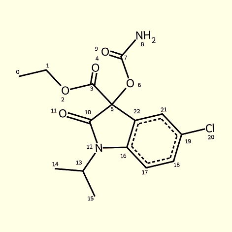 CCOC(=O)C1(OC(N)=O)C(=O)N(C(C)C)c2ccc(Cl)cc21